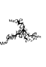 COC(=O)CCOCC(COCCC(=O)O)(COCCC(=O)OC)NC(=O)CCCNC(=O)OC